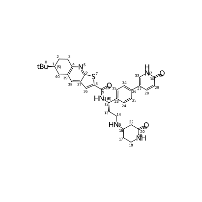 CC(C)(C)[C@H]1CCc2nc3sc(C(=O)N[C@H](CCNC4CCNC(=O)C4)c4ccc(-c5ccc(=O)[nH]c5)cc4)cc3cc2C1